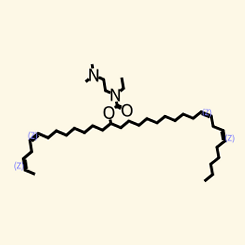 C/C=C\C/C=C\CCCCCCCC(CCCCCCCCC/C=C\C/C=C\CCCCC)OC(=O)N(CC)CCN(C)C